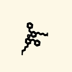 ICCCCc1ccc(Oc2ccc(CCCCI)cc2Cc2ccccc2)c(Cc2ccccc2)c1